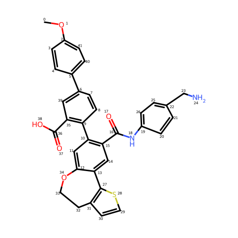 COc1ccc(-c2ccc(-c3cc4c(cc3C(=O)Nc3ccc(CN)cc3)-c3sccc3CCO4)c(C(=O)O)c2)cc1